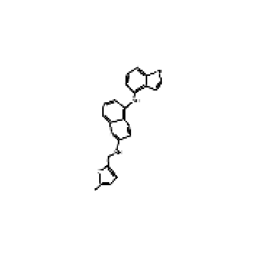 Cc1ccc(CNc2ccc3c(Nc4cccc5[nH]ccc45)cccc3n2)o1